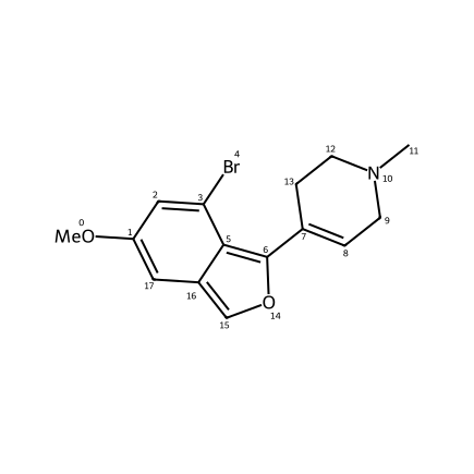 COc1cc(Br)c2c(C3=CCN(C)CC3)occ2c1